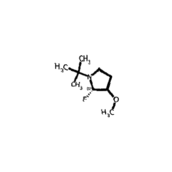 COC1CCN(C(C)(C)C)[C@H]1F